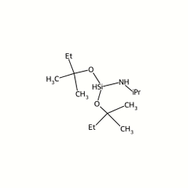 CCC(C)(C)O[SiH](NC(C)C)OC(C)(C)CC